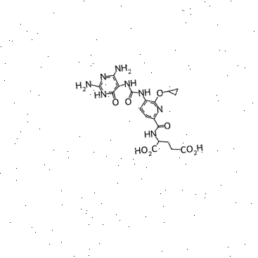 Nc1nc(N)c(NC(=O)Nc2ccc(C(=O)NC(CCC(=O)O)C(=O)O)nc2OC2CC2)c(=O)[nH]1